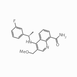 COCc1cnc2c(C(N)=O)cccc2c1N[C@H](C)c1cccc(F)c1